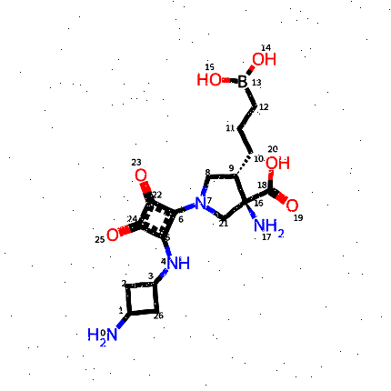 NC1CC(Nc2c(N3C[C@H](CCCB(O)O)[C@](N)(C(=O)O)C3)c(=O)c2=O)C1